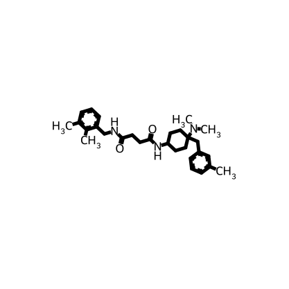 Cc1cccc(CC2(N(C)C)CCC(NC(=O)CCC(=O)NCc3cccc(C)c3C)CC2)c1